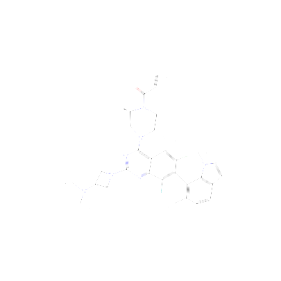 C=CC(=O)N1C[C@H](C)N(c2nc(N3CC(N(C)C)C3)nc3c(F)c(-c4c(C)ccc5ccn(C)c45)c(Cl)cc23)C[C@H]1C